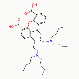 CCCCN(CCCC)CCCc1ccc(C(=O)O)c2c1C(CCCN(CCCC)CCCC)c1cccc(C(=O)O)c1O2